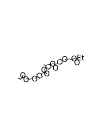 C=CC(=O)OCCCOc1ccc(C(=O)Oc2ccc(OC(=O)c3ccc(OCCCOC(=O)CC)cc3)cc2C)cc1